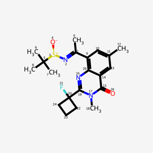 CC(=N[S@+]([O-])C(C)(C)C)c1cc(C)cc2c(=O)n(C)c(C3(F)CCC3)nc12